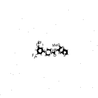 COc1nc2ccsc2nc1NC(=O)N1CCN(c2cc(OC(F)(F)F)cc(C(F)(F)F)c2)CC1